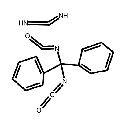 N=C=N.O=C=NC(N=C=O)(c1ccccc1)c1ccccc1